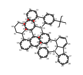 CC(C)(C)c1ccc(-c2ccccc2)c(N(c2cccc(C3C=CC=C4c5ccccc5N(c5ccccc5)C43)c2)c2ccccc2-c2cccc3cccc(C4CCCCC4)c23)c1